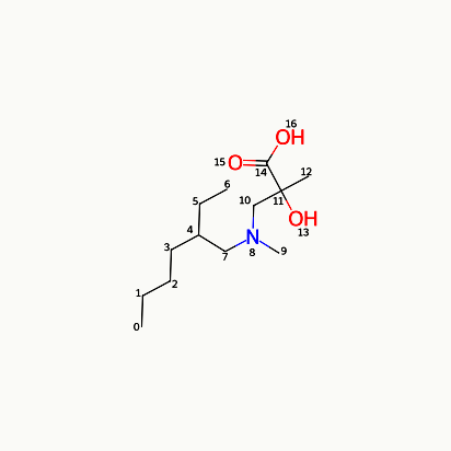 CCCCC(CC)CN(C)CC(C)(O)C(=O)O